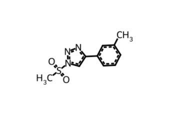 Cc1cccc(-c2cn(S(C)(=O)=O)nn2)c1